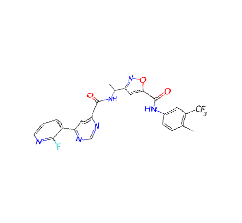 Cc1ccc(NC(=O)c2cc(C(C)NC(=O)c3cc(-c4cccnc4F)ncn3)no2)cc1C(F)(F)F